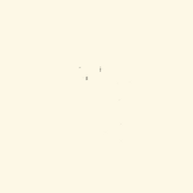 CC(=N)c1c(C(=O)O)cc(C)nc1NCc1ccc(Oc2ccccc2)cc1